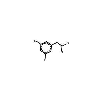 Fc1cc(Cl)cc([CH]C(Cl)Cl)c1